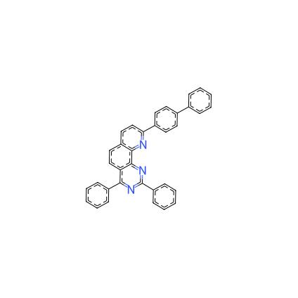 c1ccc(-c2ccc(-c3ccc4ccc5c(-c6ccccc6)nc(-c6ccccc6)nc5c4n3)cc2)cc1